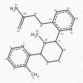 Cc1cccnc1C1CCCC(c2ncccc2CCC(N)=O)N1C